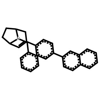 C1=C(c2ccc(-c3ccc4ccccc4c3)cc2)CC2CCC1N2Cc1ccccc1